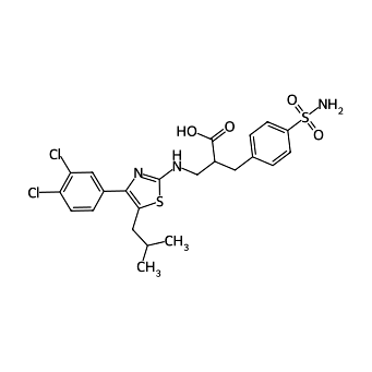 CC(C)Cc1sc(NCC(Cc2ccc(S(N)(=O)=O)cc2)C(=O)O)nc1-c1ccc(Cl)c(Cl)c1